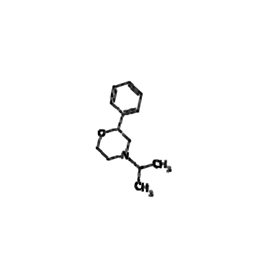 CC(C)N1CCOC(c2ccccc2)C1